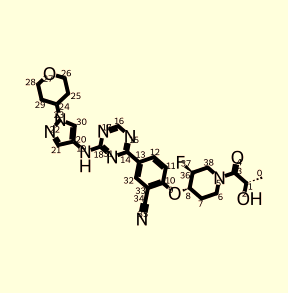 C[C@H](O)C(=O)N1CC[C@H](Oc2ccc(-c3ncnc(Nc4cnn(C5CCOCC5)c4)n3)cc2C#N)[C@@H](F)C1